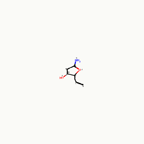 CCC1OC(N)C[C@@H]1O